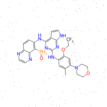 Cc1cc(Nc2nc(Nc3ccc4nccnc4c3[PH2]=O)c3cc[nH]c3n2)c(OCC(F)(F)F)cc1N1CCOCC1